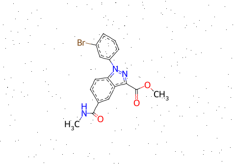 CNC(=O)c1ccc2c(c1)c(C(=O)OC)nn2-c1cccc(Br)c1